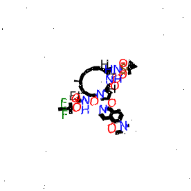 CC[C@@H]1C[C@@H](C)CC/C=C\[C@@H]2C[C@@]2(C(=O)NS(=O)(=O)C2(C)CC2)NC(=O)[C@@H]2C[C@@H](Oc3nccc4c5c(ccc34)N(C)CCO5)CN2C(=O)[C@H]1NC(=O)OC(C)(C)C(C)(F)F